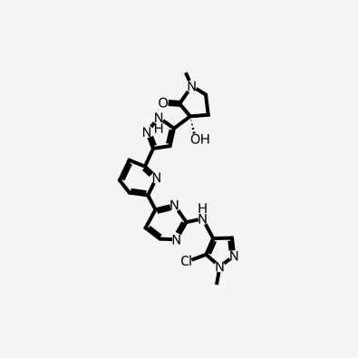 CN1CC[C@@](O)(c2cc(-c3cccc(-c4ccnc(Nc5cnn(C)c5Cl)n4)n3)n[nH]2)C1=O